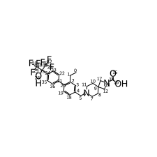 CCc1cc(CN2CCC3(CC2)CN(C(=O)O)C3)ccc1-c1ccc(C(O)(C(F)(F)F)C(F)(F)F)cc1